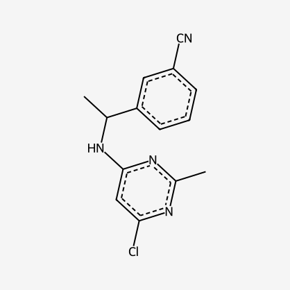 Cc1nc(Cl)cc(NC(C)c2cccc(C#N)c2)n1